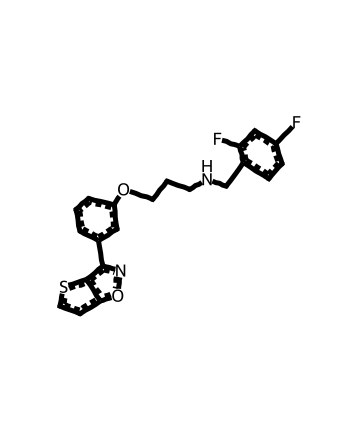 Fc1ccc(CNCCCOc2cccc(-c3noc4ccsc34)c2)c(F)c1